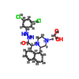 CN1CCN(C(C(=O)NNc2cc(Cl)cc(Cl)c2)c2cccc3ccccc23)CC1.O=CO